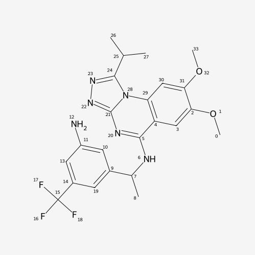 COc1cc2c(NC(C)c3cc(N)cc(C(F)(F)F)c3)nc3nnc(C(C)C)n3c2cc1OC